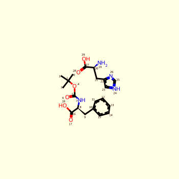 CC(C)(C)OC(=O)N[C@@H](Cc1ccccc1)C(=O)O.N[C@@H](Cc1c[nH]cn1)C(=O)O